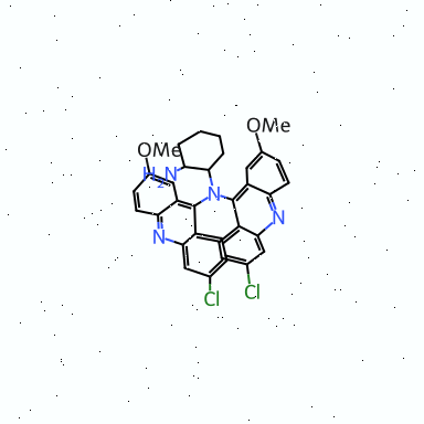 COc1ccc2nc3cc(Cl)ccc3c(N(c3c4ccc(Cl)cc4nc4ccc(OC)cc34)C3CCCCC3N)c2c1